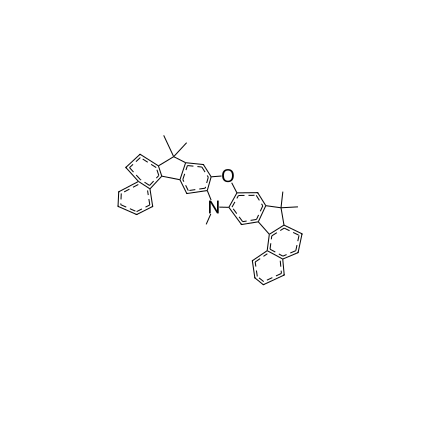 CN1c2cc3c(cc2Oc2cc4c(cc21)-c1c(ccc2ccccc12)C4(C)C)C(C)(C)c1ccc2ccccc2c1-3